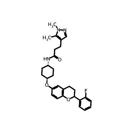 Cc1c(CCC(=O)N[C@H]2CC[C@H](Oc3ccc4c(c3)CCC(c3ccccc3F)O4)CC2)cnn1C